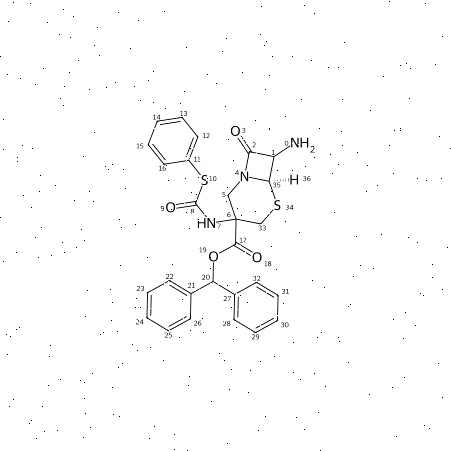 NC1C(=O)N2CC(NC(=O)Sc3ccccc3)(C(=O)OC(c3ccccc3)c3ccccc3)CS[C@H]12